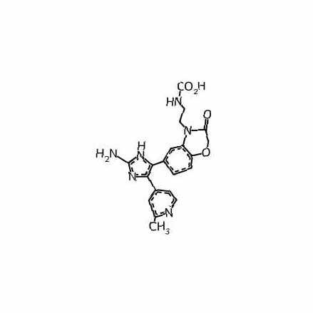 Cc1cc(-c2nc(N)[nH]c2-c2ccc3c(c2)N(CCNC(=O)O)C(=O)CO3)ccn1